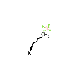 CCCCCC#[C][K].F[B-](F)(F)F